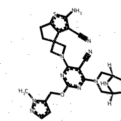 Cn1nccc1COc1nc(N2C[C@H]3CC[C@@H](C2)N3)c(C#N)c(N2CC3(CCc4sc(N)c(C#N)c43)C2)n1